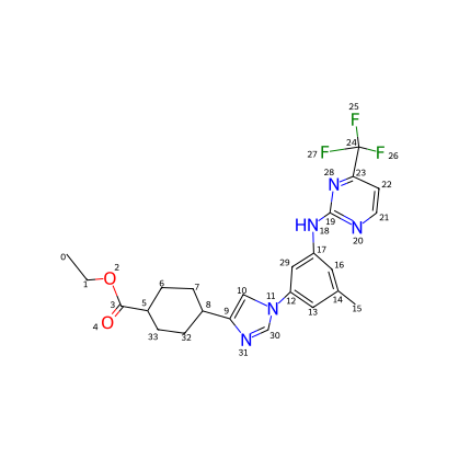 CCOC(=O)C1CCC(c2cn(-c3cc(C)cc(Nc4nccc(C(F)(F)F)n4)c3)cn2)CC1